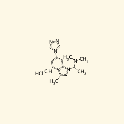 Cc1cn(C(C)N(C)C)c2cc(-n3cnnc3)ccc12.Cl.Cl